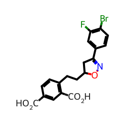 O=C(O)c1ccc(CCC2CC(c3ccc(Br)c(F)c3)=NO2)c(C(=O)O)c1